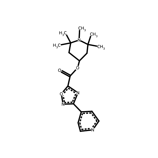 CN1C(C)(C)CC(OC(=O)c2nc(-c3ccncc3)no2)CC1(C)C